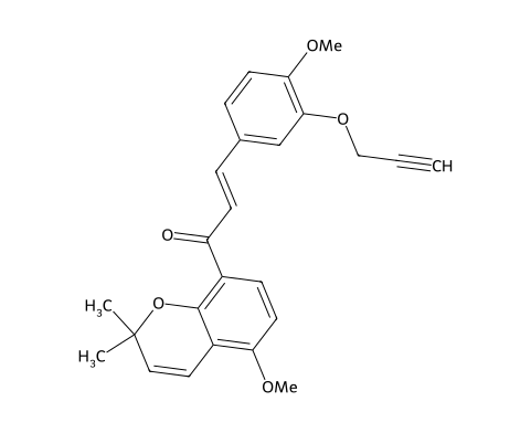 C#CCOc1cc(C=CC(=O)c2ccc(OC)c3c2OC(C)(C)C=C3)ccc1OC